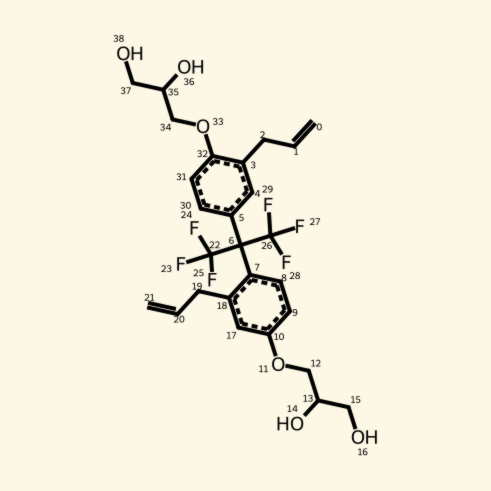 C=CCc1cc(C(c2ccc(OCC(O)CO)cc2CC=C)(C(F)(F)F)C(F)(F)F)ccc1OCC(O)CO